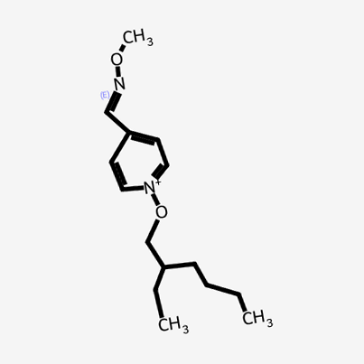 CCCCC(CC)CO[n+]1ccc(/C=N/OC)cc1